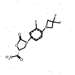 NC(=O)[C@H]1CN(c2ccc(N3CC(F)(F)C3)c(F)c2)C(=O)O1